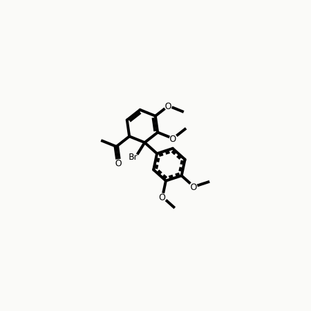 COC1=C(OC)C(Br)(c2ccc(OC)c(OC)c2)C(C(C)=O)C=C1